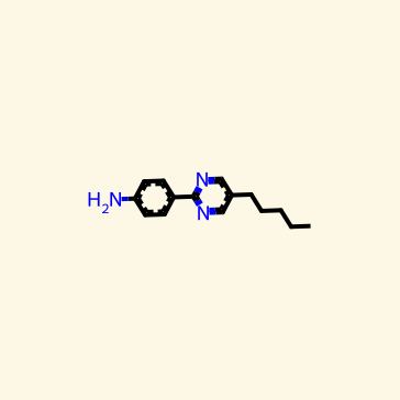 CCCCCc1cnc(-c2ccc(N)cc2)nc1